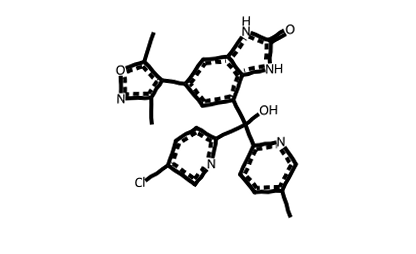 Cc1ccc(C(O)(c2ccc(Cl)cn2)c2cc(-c3c(C)noc3C)cc3[nH]c(=O)[nH]c23)nc1